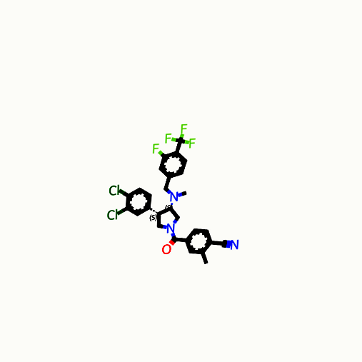 Cc1cc(C(=O)N2C[C@H](c3ccc(Cl)c(Cl)c3)[C@H](N(C)Cc3ccc(C(F)(F)F)c(F)c3)C2)ccc1C#N